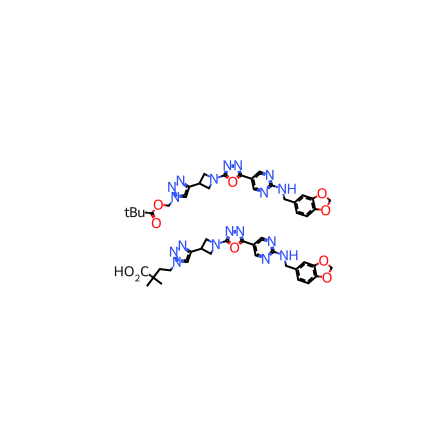 CC(C)(C)C(=O)OCn1cc(C2CN(c3nnc(-c4cnc(NCc5ccc6c(c5)OCO6)nc4)o3)C2)nn1.CC(C)(CCn1cc(C2CN(c3nnc(-c4cnc(NCc5ccc6c(c5)OCO6)nc4)o3)C2)nn1)C(=O)O